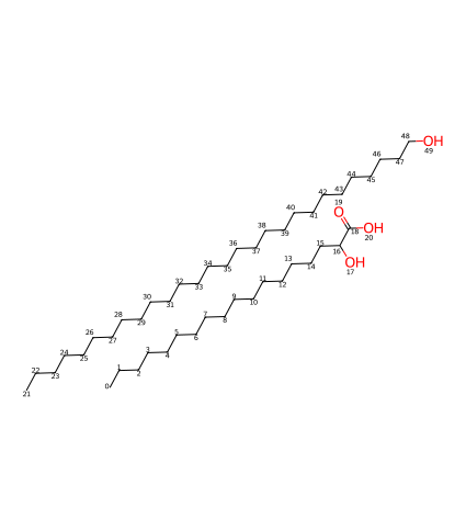 CCCCCCCCCCCCCCCCC(O)C(=O)O.CCCCCCCCCCCCCCCCCCCCCCCCCCCCO